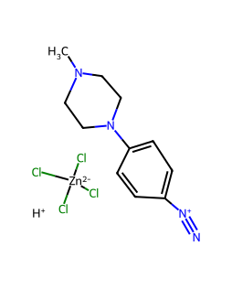 CN1CCN(c2ccc([N+]#N)cc2)CC1.[Cl][Zn-2]([Cl])([Cl])[Cl].[H+]